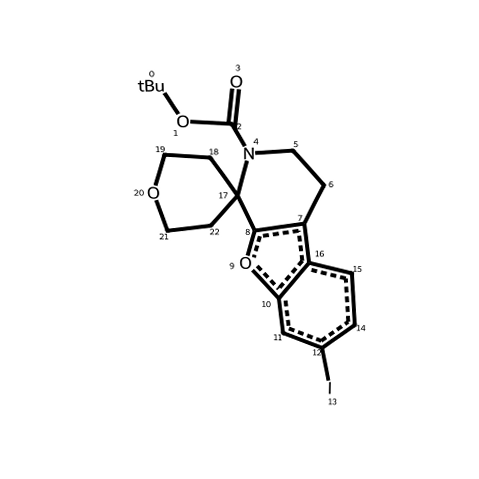 CC(C)(C)OC(=O)N1CCc2c(oc3cc(I)ccc23)C12CCOCC2